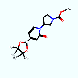 CC(C)(C)OC(=O)N1CCC(n2ccc(B3OC(C)(C)C(C)(C)O3)cc2=O)C1